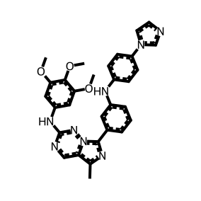 COc1cc(Nc2ncc3c(C)nc(-c4cccc(Nc5ccc(-n6ccnc6)cc5)c4)n3n2)cc(OC)c1OC